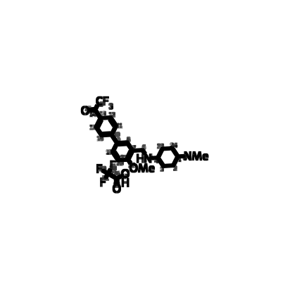 CNC1CCC(NCc2cc(-c3ccc(C(=O)C(F)(F)F)cc3)ccc2OC)CC1.O=C(O)C(F)(F)F